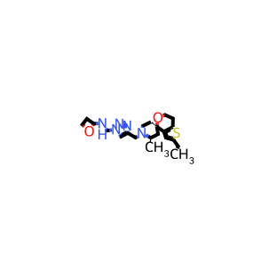 CCc1cc2c(s1)CCO[C@@]21CCN(Cc2cn(CNC3CCO3)nn2)[C@@H](C)C1